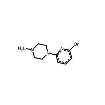 CN1CCN(c2cccc(Br)n2)CC1